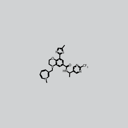 Cc1cnc(-c2cc(C(=O)NC(C)c3cnc(C(F)(F)F)nc3)cc3c2OCCN3CC2=CN(C)C=CC=C2)s1